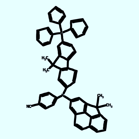 CC1(C)c2cc(N(c3ccc(C#N)cc3)c3cc4c5c(ccc6cccc(c65)C4(C)C)c3)ccc2-c2ccc([Si](c3ccccc3)(c3ccccc3)c3ccccc3)cc21